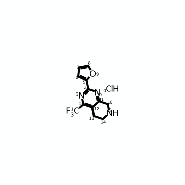 Cl.FC(F)(F)c1nc(-c2ccco2)nc2c1CCNC2